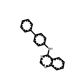 c1ccc(-c2ccc(Nc3ncnc4ccccc34)cc2)cc1